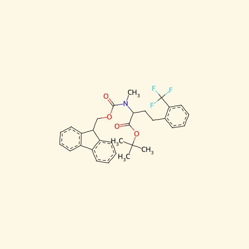 CN(C(=O)OCC1c2ccccc2-c2ccccc21)C(CCc1ccccc1C(F)(F)F)C(=O)OC(C)(C)C